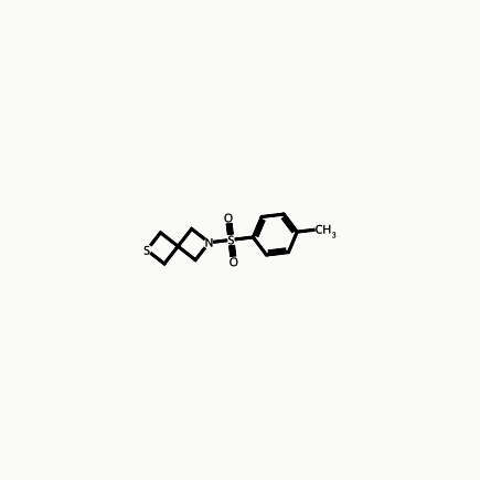 Cc1ccc(S(=O)(=O)N2CC3(CSC3)C2)cc1